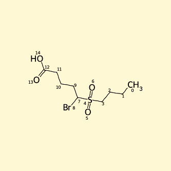 CCCCS(=O)(=O)C(Br)CCCC(=O)O